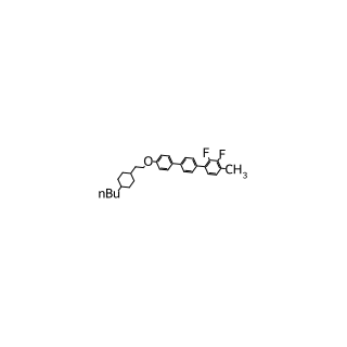 CCCCC1CCC(CCOc2ccc(-c3ccc(-c4ccc(C)c(F)c4F)cc3)cc2)CC1